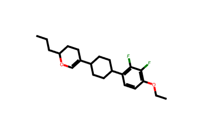 CCCC1CCC(C2CCC(c3ccc(OCC)c(F)c3F)CC2)=CO1